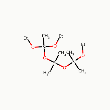 CCO[Si](C)(C)O[Si](C)(C)O[Si](C)(OCC)OCC